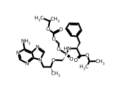 CC(C)OC(=O)OCO[P@@](=O)(CO[C@H](C)Cn1cnc2c(N)ncnc21)N[C@@H](Cc1ccccc1)C(=O)OC(C)C